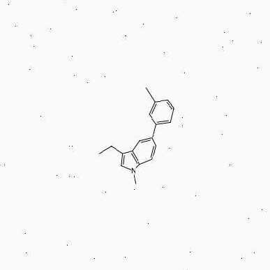 CCc1cn(C)c2ccc(-c3cccc(C)c3)cc12